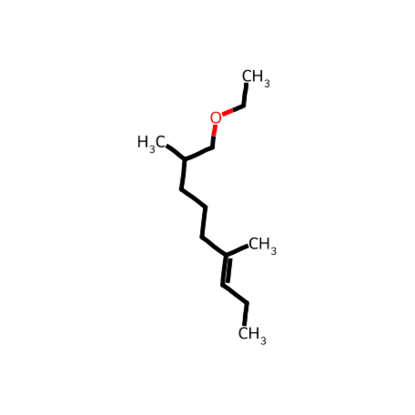 CC/C=C(\C)CCCC(C)COCC